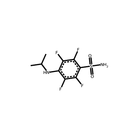 CC(C)Nc1c(F)c(F)c(S(N)(=O)=O)c(F)c1F